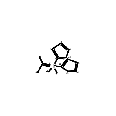 C[C](C)=[Hf]([CH3])([CH3])([C]1=CC=CC1)[C]1=CC=CC1